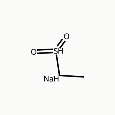 CC[SH](=O)=O.[NaH]